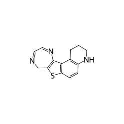 C1=NCc2sc3ccc4c(c3c2N=C1)CCCN4